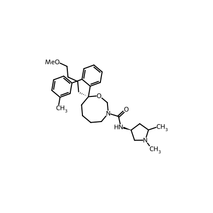 COCCCC[C@@]1(c2ccccc2-c2cccc(C)c2)CCCCN(C(=O)N[C@H]2CC(C)N(C)C2)CO1